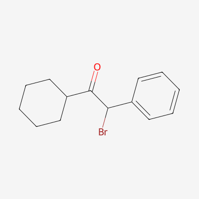 O=C(C1CCCCC1)C(Br)c1ccccc1